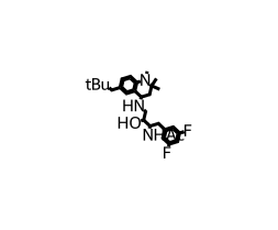 CC(=O)NC(Cc1cc(F)cc(F)c1)C(O)CNC1CC(C)(C)N(C)c2ccc(CC(C)(C)C)cc21